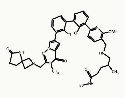 CCNC(=O)CC[C@H](C)CNCc1ccc(-c2cccc(-c3cccc(-c4cc5c(=O)n(C)c(CN6CC7(CCC(=O)N7)C6)nn5c4)c3Cl)c2Cl)nc1OC